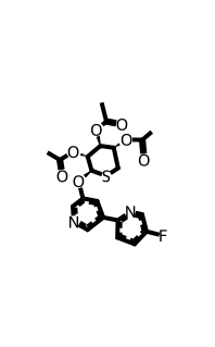 CC(=O)O[C@@H]1[C@@H](OC(C)=O)[C@H](OC(C)=O)CS[C@H]1Oc1cncc(-c2ccc(F)cn2)c1